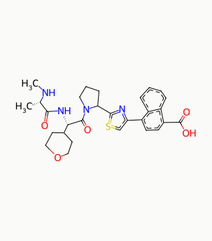 CN[C@@H](C)C(=O)N[C@H](C(=O)N1CCCC1c1nc(-c2ccc(C(=O)O)c3ccccc23)cs1)C1CCOCC1